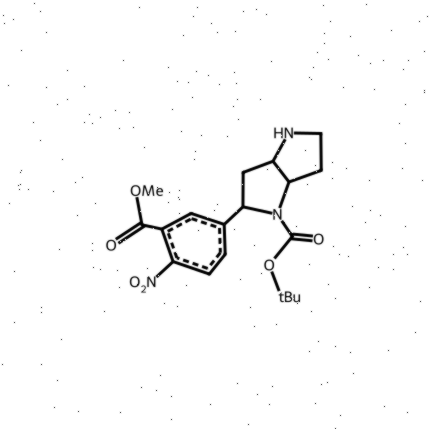 COC(=O)c1cc(C2CC3NCCC3N2C(=O)OC(C)(C)C)ccc1[N+](=O)[O-]